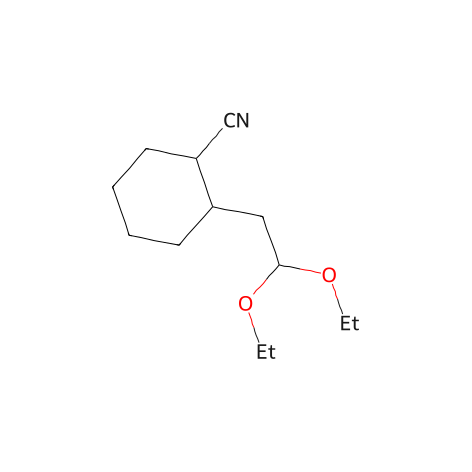 CCOC(CC1CCCCC1C#N)OCC